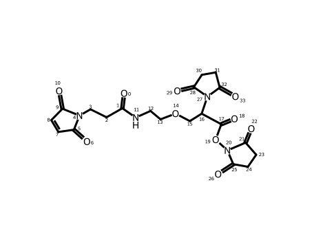 O=C(CCN1C(=O)C=CC1=O)NCCOCC(C(=O)ON1C(=O)CCC1=O)N1C(=O)CCC1=O